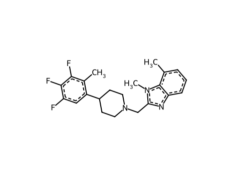 Cc1c(C2CCN(Cc3nc4cccc(C)c4n3C)CC2)cc(F)c(F)c1F